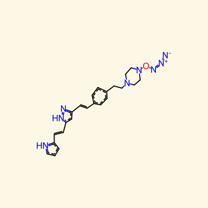 [N-]=[N+]=NON1CCN(CCc2ccc(/C=C/c3cc(/C=C/c4ccc[nH]4)[nH]n3)cc2)CC1